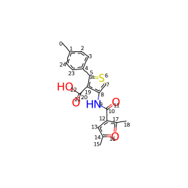 Cc1ccc(-c2scc(NC(=O)c3cc(C)oc3C)c2C(=O)O)cc1